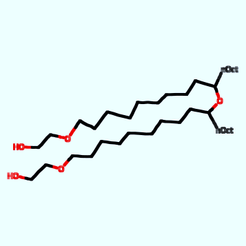 CCCCCCCCC(CCCCCCCCCOCCO)OC(CCCCCCCC)CCCCCCCCCOCCO